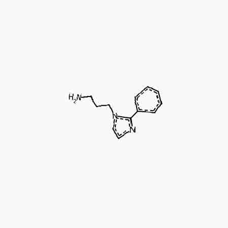 NCCCn1ccnc1-c1ccccc1